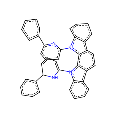 C1=CC(c2ccccc2)NC(n2c3ccccc3c3ccc4c5ccccc5n(-c5cccc(-c6ccccc6)n5)c4c32)=C1